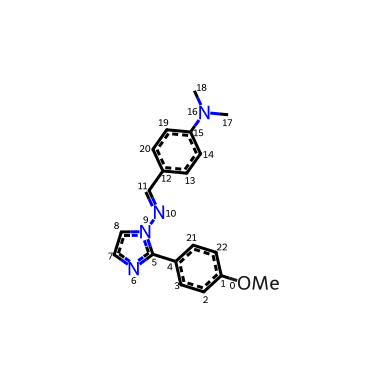 COc1ccc(-c2nccn2/N=C/c2ccc(N(C)C)cc2)cc1